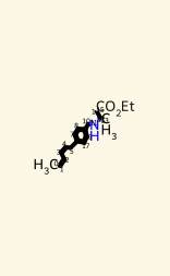 C/C=C\C=C/Cc1ccc(CNC(C)CC(=O)OCC)cc1